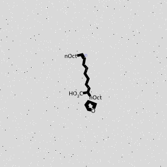 CCCCCCCC/C=C\CCCCCCC(CCCCCCCC)C(=O)O.c1ccoc1